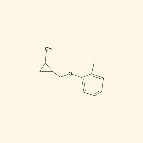 Cc1ccccc1OCC1CC1O